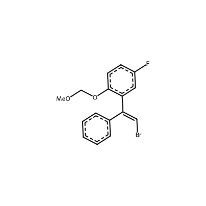 COCOc1ccc(F)cc1C(=CBr)c1ccccc1